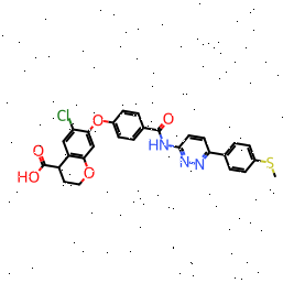 CSc1ccc(-c2ccc(NC(=O)c3ccc(Oc4cc5c(cc4Cl)C(C(=O)O)CCO5)cc3)nn2)cc1